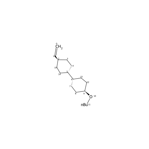 C=C[C@H]1CC[C@H]([C@H]2CC[C@H](OCCCC)CC2)CC1